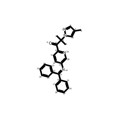 Cc1cnn(C(C)(C)C(=O)c2ccc(N=C(c3ccccc3)c3ccccc3)cn2)c1